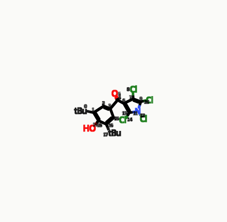 CC(C)(C)c1cc(C(=O)c2c(Cl)c(Cl)n(Cl)c2Cl)cc(C(C)(C)C)c1O